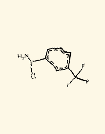 NN(Cl)c1cccc(C(F)(F)F)c1